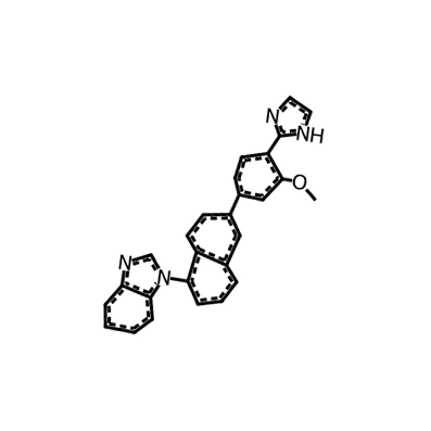 COc1cc(-c2ccc3c(-n4cnc5ccccc54)cccc3c2)ccc1-c1ncc[nH]1